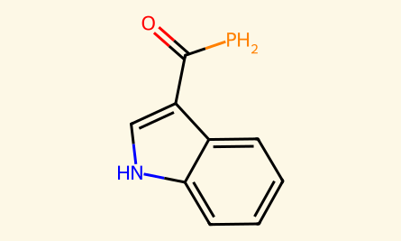 O=C(P)c1c[nH]c2ccccc12